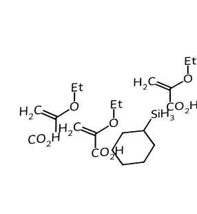 C=C(OCC)C(=O)O.C=C(OCC)C(=O)O.C=C(OCC)C(=O)O.[SiH3]C1CCCCC1